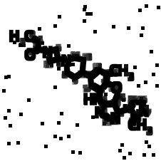 C=CC(=O)N1CC(N2CCC(c3cc(C)c4c(c3)Nc3ncnc(-c5ccnn5C)c3CO4)CC2)C1